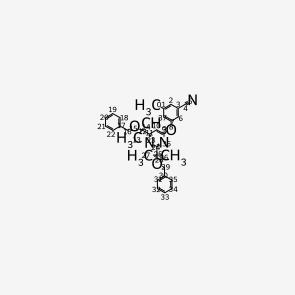 Cc1cc(C#N)cc(Oc2cc(C(C)(C)OCc3ccccc3)nc(C(C)(C)OCc3ccccc3)n2)c1